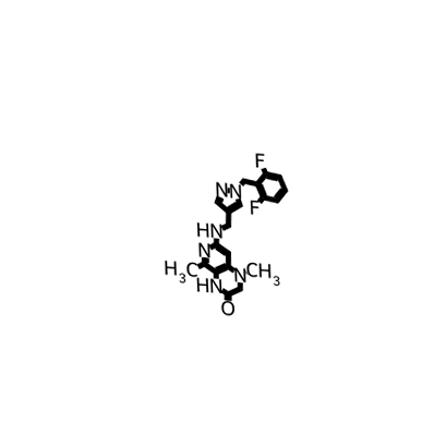 Cc1nc(NCc2cnn(Cc3c(F)cccc3F)c2)cc2c1NC(=O)CN2C